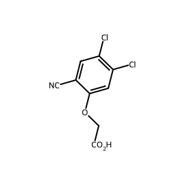 N#Cc1cc(Cl)c(Cl)cc1OCC(=O)O